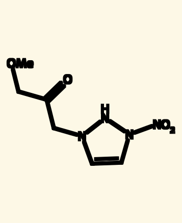 COCC(=O)CN1C=CN([N+](=O)[O-])N1